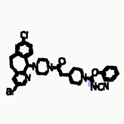 N#C/N=C(\Oc1ccccc1)N1CCC(CC(=O)N2CCN(C3c4ccc(Cl)cc4CCc4cc(Br)cnc43)CC2)CC1